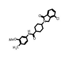 COc1cc(NC(=O)C2CCC(N3Cc4c(Cl)cccc4C3=O)CC2)ccc1C